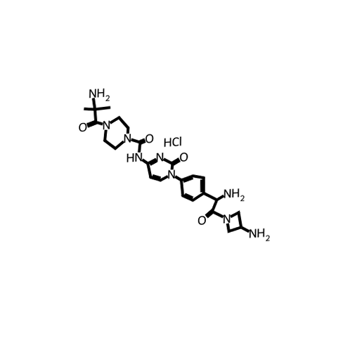 CC(C)(N)C(=O)N1CCN(C(=O)Nc2ccn(-c3ccc(C(N)C(=O)N4CC(N)C4)cc3)c(=O)n2)CC1.Cl